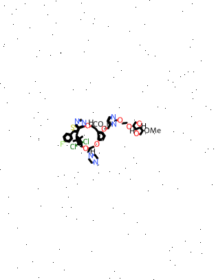 CO[C@@H]1CO[C@H]2[C@@H]1OC[C@H]2OCCOc1nccc(COc2ccc3cc2C[C@H](C(=O)O)Oc2ncnc4sc(-c5ccc(F)cc5)c(c24)-c2c(C)c(Cl)c(c(Cl)c2C)O[C@H](CN2CCN(C)CC2)CO3)n1